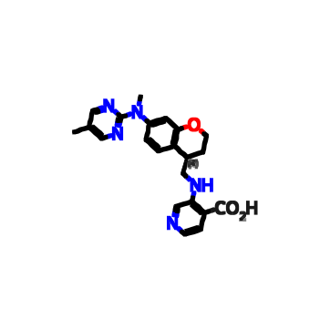 Cc1cnc(N(C)c2ccc3c(c2)OCC[C@H]3CNc2cnccc2C(=O)O)nc1